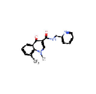 CCn1cc(C(=O)NCc2ccccn2)c(=O)c2cccc(C(F)(F)F)c21